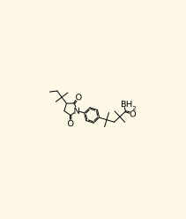 BC(=O)C(C)(C)CC(C)(C)c1ccc(N2C(=O)CC(C(C)(C)CC)C2=O)cc1